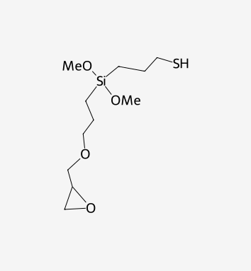 CO[Si](CCCS)(CCCOCC1CO1)OC